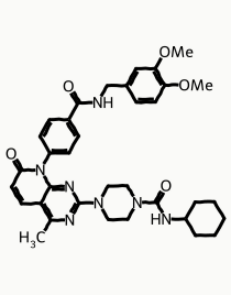 COc1ccc(CNC(=O)c2ccc(-n3c(=O)ccc4c(C)nc(N5CCN(C(=O)NC6CCCCC6)CC5)nc43)cc2)cc1OC